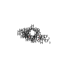 CCC(c1ccccc1)C1NC(=O)CNC(=O)C(CO)NC(=O)C(C(O)C2CNC(=N)N2C2OC(CO)C(O)C(O)C2O)NC(=O)C(C(O)C2CNC(=N)N2)NC(=O)C(Cc2ccc(O)c(N(C(=S)Nc3cc(C(F)(F)F)cc(C(F)(F)F)c3)c3ccccc3)c2)NC1=O